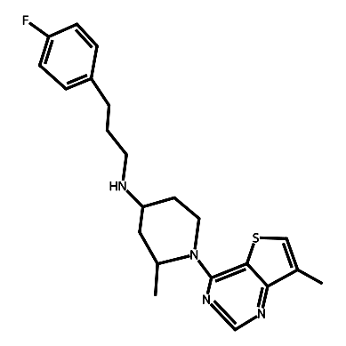 Cc1csc2c(N3CCC(NCCCc4ccc(F)cc4)CC3C)ncnc12